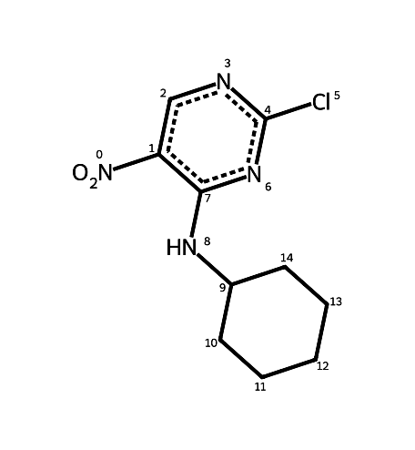 O=[N+]([O-])c1cnc(Cl)nc1NC1CCCCC1